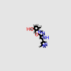 Cc1cc(-c2cc3c(=O)n(-c4c(C)ccc(O)c4C)cnc3[nH]2)cnn1